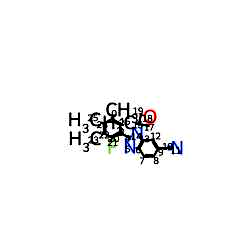 Cc1cc(-c2nc3ccc(C#N)cc3n2C2(C)COC2)c(F)c(C)c1C